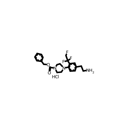 Cl.NCCc1ccc(N2CCN(C(=O)OCc3ccccc3)CC2)c(C(F)(F)CF)c1